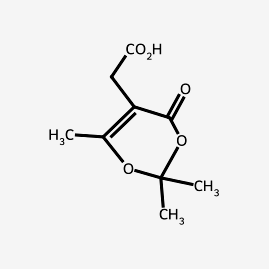 CC1=C(CC(=O)O)C(=O)OC(C)(C)O1